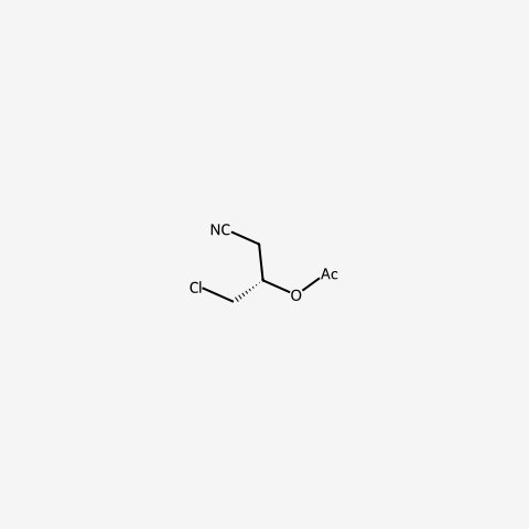 CC(=O)O[C@H](CCl)CC#N